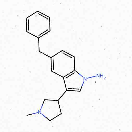 CN1CCC(c2cn(N)c3ccc(Cc4ccccc4)cc23)C1